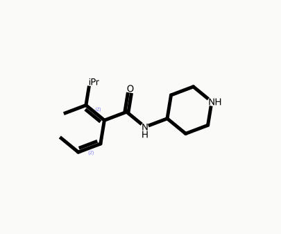 C/C=C\C(C(=O)NC1CCNCC1)=C(/C)C(C)C